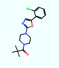 CC(C)(C)C(=O)N1CCN(c2ncc(-c3ccccc3Cl)o2)CC1